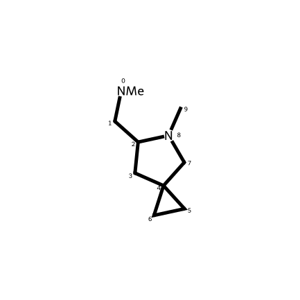 CNCC1CC2(CC2)CN1C